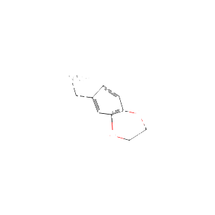 CNCc1ccc2c(c1)OCCO2